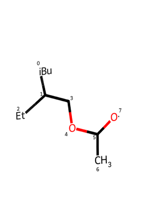 CCC(C)C(CC)COC(C)[O]